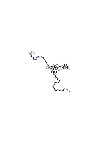 CCCCC/C=C\C/C=C\C/C=C\C/C=C\CCCCCC(=O)O[C@H](COC(=O)CCCCCC/C=C\C/C=C\C/C=C\CCCCC)COP(=O)([O-])OCC[N+](C)(C)C